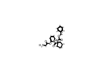 NCC(=O)OC1=CC=CCN1C(=O)C1(NC(=O)OCc2ccccc2)CCCCC1